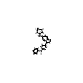 c1ccc(Nc2ncc(-c3cnc4ccc(NC5CCNCC5)nn34)cn2)cc1